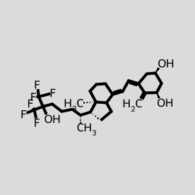 C=C1/C(=C\C=C2CCC[C@@]3(C)C2CC[C@@H]3[C@H](C)CCCC(O)(C(F)(F)F)C(F)(F)F)C[C@@H](O)C[C@H]1O